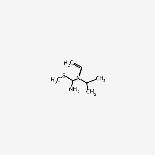 C=CN(C(C)C)C(N)SC